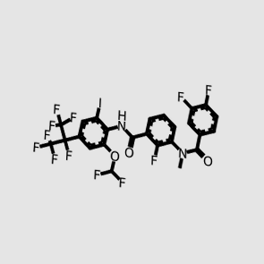 CN(C(=O)c1ccc(F)c(F)c1)c1cccc(C(=O)Nc2c(I)cc(C(F)(C(F)(F)F)C(F)(F)F)cc2OC(F)F)c1F